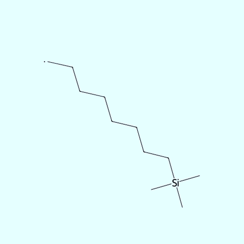 [CH2]CCCCCCC[Si](C)(C)C